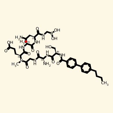 CCCCc1ccc(-c2ccc(C(=O)N[C@H](CO)C(=O)N[C@H](N)C(=O)NCC(=O)N(C)[C@@H](CCC(=O)O)C(=O)N[C@@H](C)C(=O)N[C@@H](CC(N)=O)C(=O)NCB(O)O)cc2)cc1